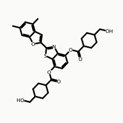 Cc1cc(C)c2cc(-c3nc4c(OC(=O)C5CCC(CO)CC5)ccc(OC(=O)C5CCC(CO)CC5)c4s3)oc2c1